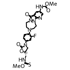 COC(=O)Nc1cnc2c(c1)c(=O)n1n2CCN(c2ccc(N3C[C@H](CNC(=S)OC)OC3=O)cc2F)CC1